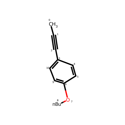 CC#Cc1ccc(OCCCC)cc1